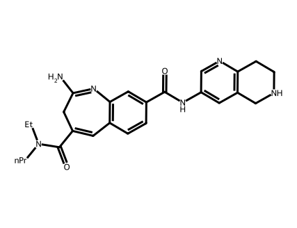 CCCN(CC)C(=O)C1=Cc2ccc(C(=O)Nc3cnc4c(c3)CNCC4)cc2N=C(N)C1